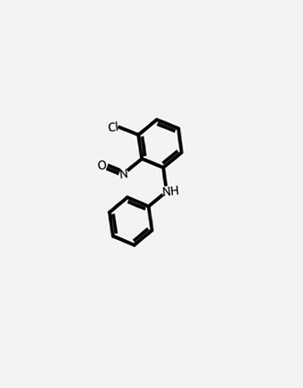 O=Nc1c(Cl)cccc1Nc1ccccc1